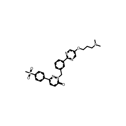 CN(C)CCCOc1cnc(-c2cccc(Cn3nc(-c4ccc(S(C)(=O)=O)cc4)ccc3=O)c2)nc1